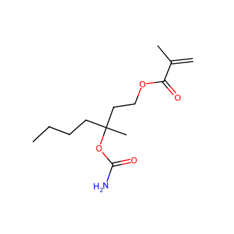 C=C(C)C(=O)OCCC(C)(CCCC)OC(N)=O